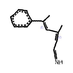 CC(=C/C=N)/C=C(\C)c1ccccc1